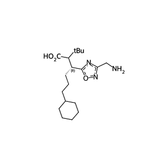 CC(C)(C)C(C(=O)O)[C@@H](CCCC1CCCCC1)c1nc(CN)no1